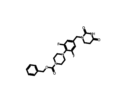 O=C1CCN(Cc2cc(F)c(N3CCN(C(=O)OCc4ccccc4)CC3)c(F)c2)C(=O)N1